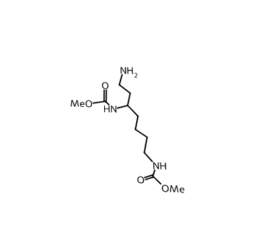 COC(=O)NCCCCC(CCN)NC(=O)OC